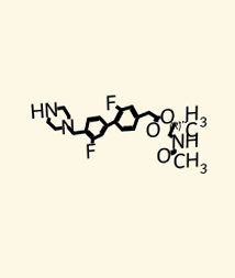 CC[C@H](CNC(C)=O)OC(=O)Cc1ccc(-c2ccc(CN3CCNCC3)c(F)c2)c(F)c1